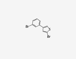 Brc1cccc(-c2csc(Br)c2)c1